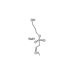 C=CCS(=O)(=O)OCCCO.[NaH]